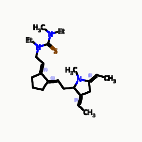 C/C=C1\C/C(=C\C)N(C)C1C/C=C1\CCC\C1=C/CN(CC)C(=S)N(C)CC